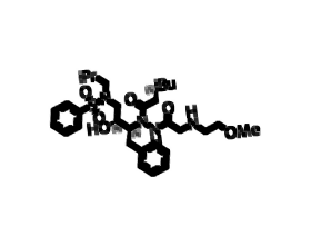 CC[C@H](C)CC(=O)N(NC(=O)CNCCOC)[C@@H](Cc1ccccc1)[C@H](O)CN(CC(C)C)S(=O)(=O)c1ccccc1